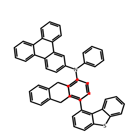 c1ccc(N(c2ccc3c4ccccc4c4ccccc4c3c2)c2ccc(-c3cccc4sc5ccccc5c34)c3c2C2c4ccccc4C3c3ccccc32)cc1